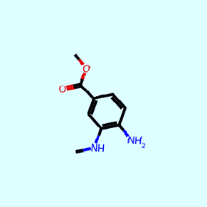 CNc1cc(C(=O)OC)ccc1N